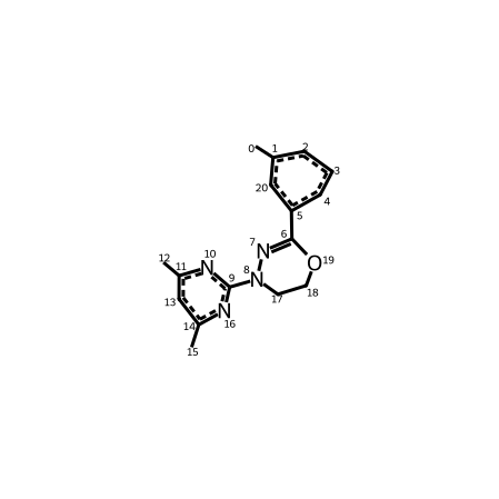 Cc1cccc(C2=NN(c3nc(C)cc(C)n3)CCO2)c1